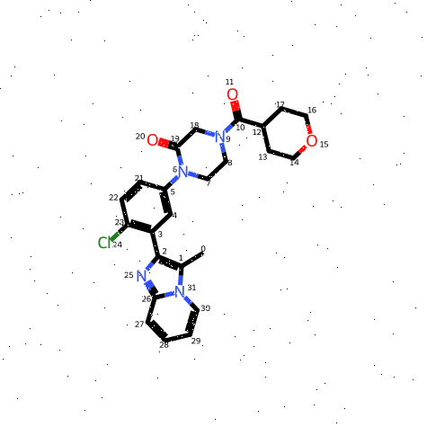 Cc1c(-c2cc(N3CCN(C(=O)C4CCOCC4)CC3=O)ccc2Cl)nc2ccccn12